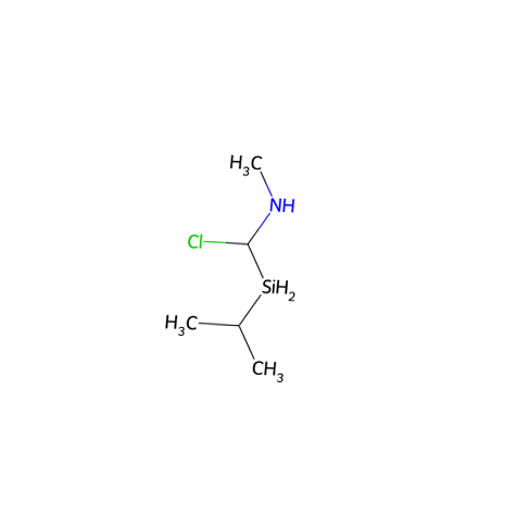 CNC(Cl)[SiH2]C(C)C